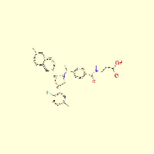 Cc1ccc(F)c([C@@H]2C[C@H](c3ccc4cc(C)ccc4c3)N(C(C)c3ccc(C(=O)NCCC(=O)O)cc3)C2)c1